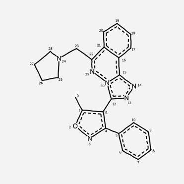 Cc1onc(-c2ccccc2)c1-c1nnc2c3ccccc3c(CN3CCCC3)nn12